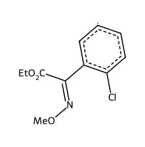 CCOC(=O)C(=NOC)c1c[c]ccc1Cl